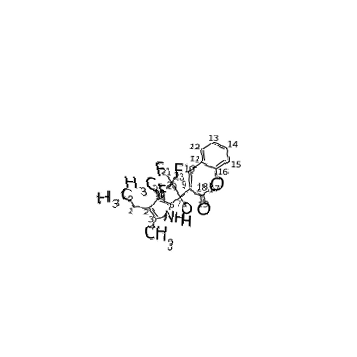 CCc1c(C)[nH]c(C(O)(c2cc3ccccc3oc2=O)C(F)(F)F)c1C